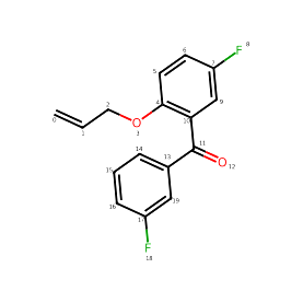 C=CCOc1ccc(F)cc1C(=O)c1cccc(F)c1